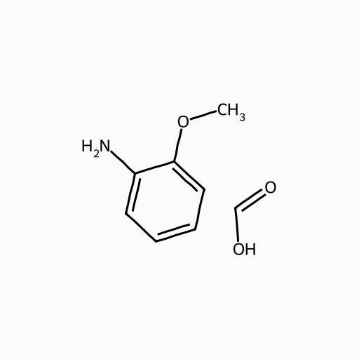 COc1ccccc1N.O=CO